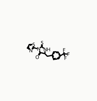 O=C1C(Cc2ccc(C(F)(F)F)cc2)NC(=S)N1c1nccs1